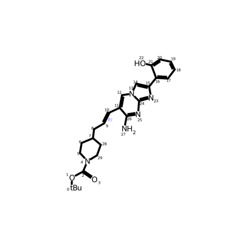 CC(C)(C)OC(=O)N1CCC(C/C=C/c2cn3cc(-c4ccccc4O)nc3nc2N)CC1